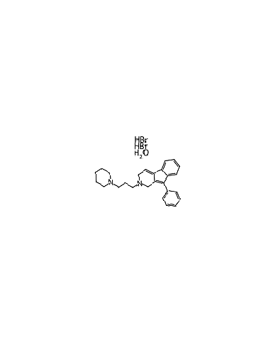 Br.Br.C1=C2C(=C(c3ccccc3)c3ccccc32)CN(CCCN2CCCCC2)C1.O